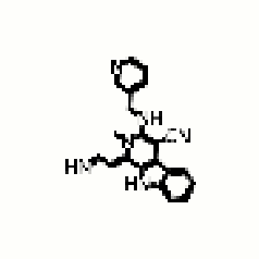 CN1C(NCc2cccnc2)=C(C#N)c2c([nH]c3ccccc23)/C1=C/C=N